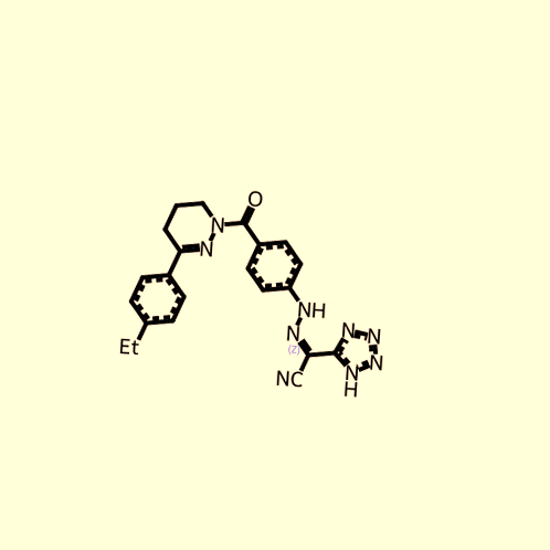 CCc1ccc(C2=NN(C(=O)c3ccc(N/N=C(/C#N)c4nnn[nH]4)cc3)CCC2)cc1